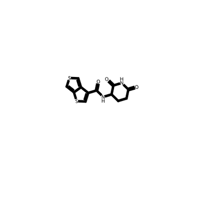 O=C1CCC(NC(=O)c2csc3cscc23)C(=O)N1